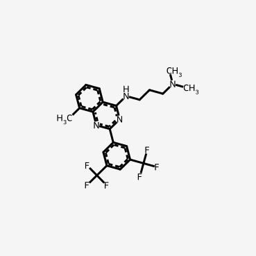 Cc1cccc2c(NCCCN(C)C)nc(-c3cc(C(F)(F)F)cc(C(F)(F)F)c3)nc12